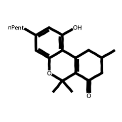 CCCCCc1cc(O)c2c(c1)OC(C)(C)C1=C2CC(C)CC1=O